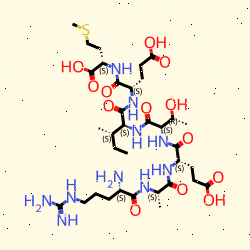 CC[C@H](C)[C@H](NC(=O)[C@@H](NC(=O)[C@H](CCC(=O)O)NC(=O)[C@H](C)NC(=O)[C@@H](N)CCCNC(=N)N)[C@@H](C)O)C(=O)N[C@@H](CCC(=O)O)C(=O)N[C@@H](CCSC)C(=O)O